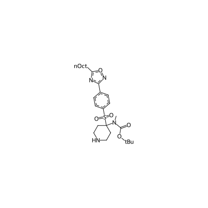 CCCCCCCCc1nc(-c2ccc(S(=O)(=O)C3(N(C)C(=O)OC(C)(C)C)CCNCC3)cc2)no1